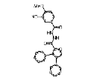 COc1ccc(C(=O)NNC(=O)c2occ(-c3ccccc3)c2-c2ccccc2)cc1C#N